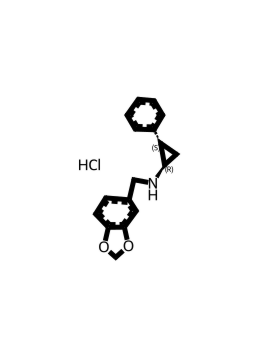 Cl.c1ccc([C@@H]2C[C@H]2NCc2ccc3c(c2)OCO3)cc1